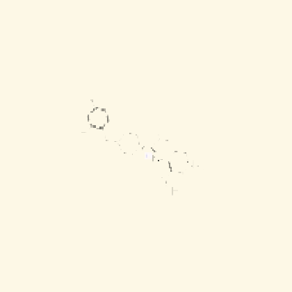 C=NC1=C(/N=C(\C(C)C)N2CCC(Cc3ccc(C)cc3F)CC2)CCN(C)C1